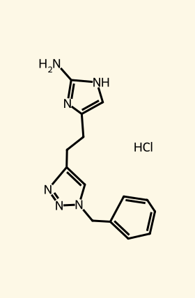 Cl.Nc1nc(CCc2cn(Cc3ccccc3)nn2)c[nH]1